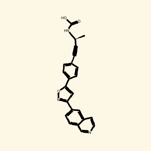 C[C@@H](C#Cc1ccc(-c2cc(-c3ccc4cnccc4c3)no2)cc1)NC(=O)O